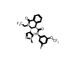 Cn1cc([C@H]2[C@H](C(=O)Nc3cc(F)cc(OC(F)(F)F)c3)c3ccccc3C(=O)N2CC(F)(F)F)cn1